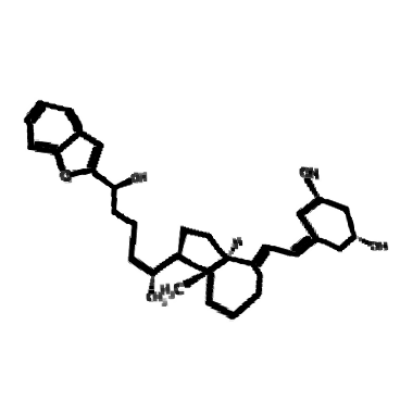 C[C@H](CCC[C@H](O)c1cc2ccccc2o1)[C@H]1CC[C@H]2/C(=C/C=C3C[C@@H](O)C[C@H](O)C3)CCC[C@]12C